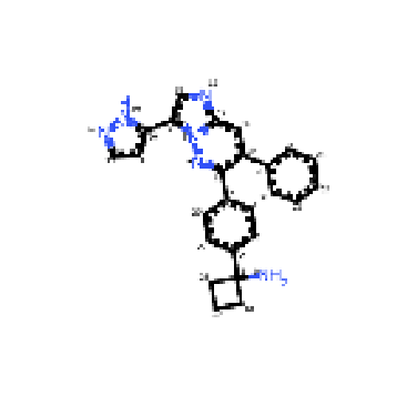 NC1(c2ccc(-c3nn4c(-c5ccn[nH]5)cnc4cc3-c3ccccc3)cc2)CCC1